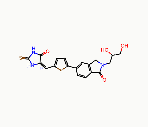 O=C1NC(=S)N/C1=C/c1ccc(-c2ccc3c(c2)CN(CC(O)CO)C3=O)s1